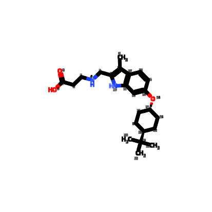 Cc1c(CNCCC(=O)O)[nH]c2cc(O[C@H]3CC[C@H](C(C)(C)C)CC3)ccc12